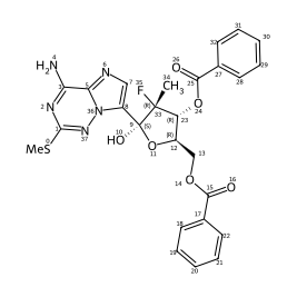 CSc1nc(N)c2ncc([C@]3(O)O[C@H](COC(=O)c4ccccc4)[C@@H](OC(=O)c4ccccc4)[C@@]3(C)F)n2n1